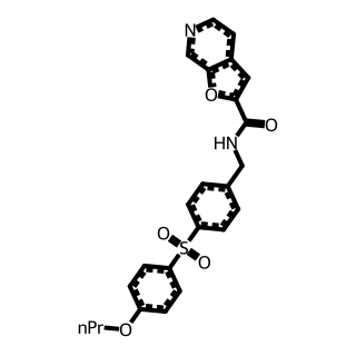 CCCOc1ccc(S(=O)(=O)c2ccc(CNC(=O)c3cc4ccncc4o3)cc2)cc1